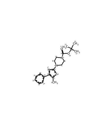 Cc1sc(N2CCN(C(=O)OC(C)(C)C)CC2)nc1-c1ccccc1